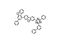 c1ccc(-c2cccc(-c3nc(-c4ccccc4)nc(-c4ccc5c(c4)oc4cc(-c6cc(-c7ccccc7)cc7oc8ccccc8c67)ccc45)n3)c2)cc1